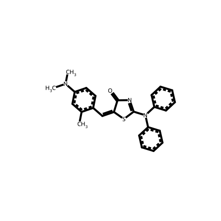 Cc1cc(N(C)C)ccc1/C=C1/SC(N(c2ccccc2)c2ccccc2)=NC1=O